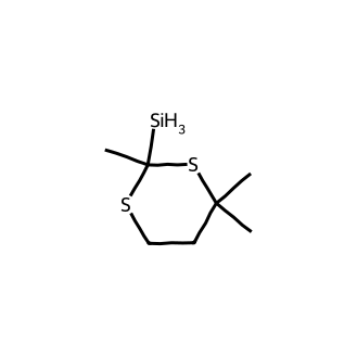 CC1(C)CCSC(C)([SiH3])S1